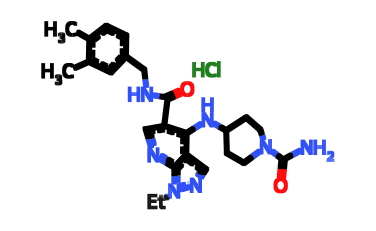 CCn1ncc2c(NC3CCN(C(N)=O)CC3)c(C(=O)NCc3ccc(C)c(C)c3)cnc21.Cl